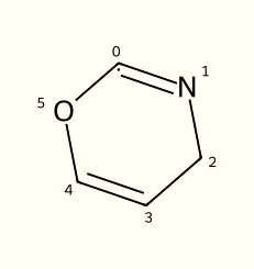 [C]1=NCC=CO1